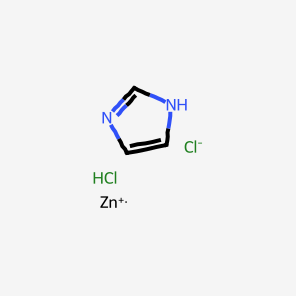 Cl.[Cl-].[Zn+].c1c[nH]cn1